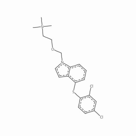 C[Si](C)(C)CCOCn1ccc2c(Sc3ccc(Cl)cc3Cl)cccc21